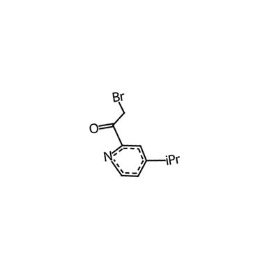 CC(C)c1ccnc(C(=O)CBr)c1